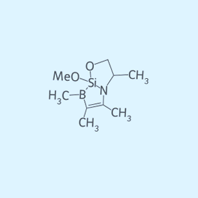 CO[Si]12OCC(C)N1C(C)=C(C)B2C